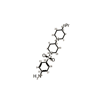 CCCC1CCN(C2CCN(S(=O)(=O)c3ccc(N)cc3)CC2)CC1